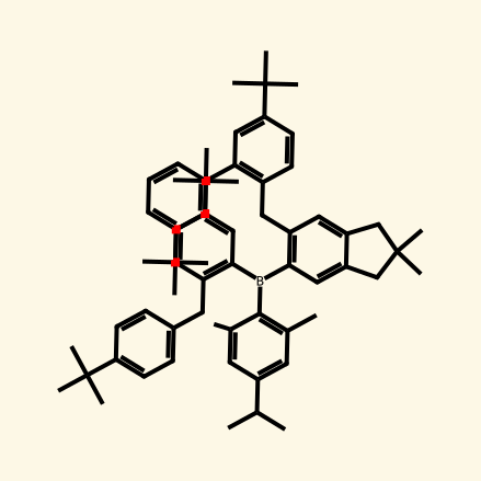 Cc1cc(C(C)C)cc(C)c1B(c1cc(C(C)(C)C)ccc1Cc1ccc(C(C)(C)C)cc1)c1cc2c(cc1Cc1ccc(C(C)(C)C)cc1-c1cccc(C(C)(C)C)c1)CC(C)(C)C2